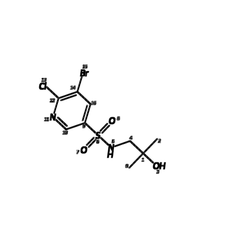 CC(C)(O)CNS(=O)(=O)c1cnc(Cl)c(Br)c1